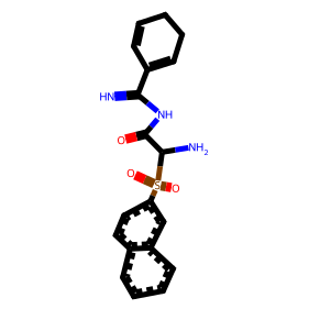 N=C(NC(=O)C(N)S(=O)(=O)c1ccc2ccccc2c1)C1=CC[CH]C=C1